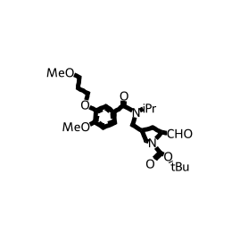 COCCCOc1cc(C(=O)N(CC2CC(C=O)N(C(=O)OC(C)(C)C)C2)C(C)C)ccc1OC